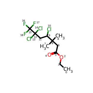 CCOC(=O)CC(C)(C)C(Cl)CC(Cl)(Cl)C(F)(F)F